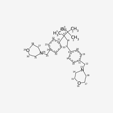 CCC(C)C(C)(C)C(C)(CCc1ccc(CN2CCOCC2)cc1)c1ccc(CN2CCOCC2)cc1